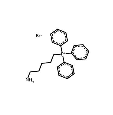 NCCCCC[P+](c1ccccc1)(c1ccccc1)c1ccccc1.[Br-]